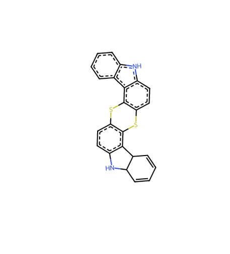 C1=CC2Nc3ccc4c(c3C2C=C1)Sc1ccc2[nH]c3ccccc3c2c1S4